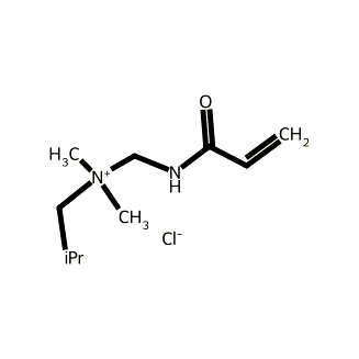 C=CC(=O)NC[N+](C)(C)CC(C)C.[Cl-]